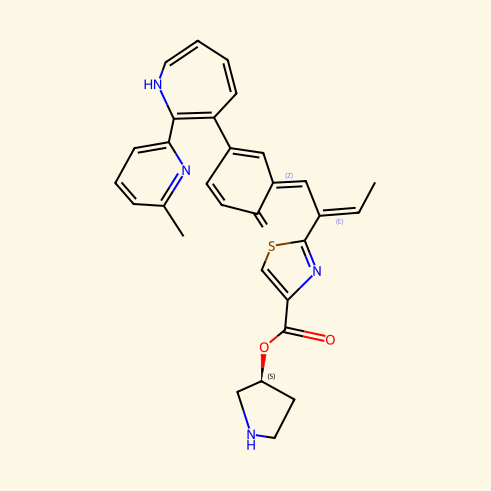 C=c1ccc(C2=C(c3cccc(C)n3)NC=CC=C2)c/c1=C/C(=C\C)c1nc(C(=O)O[C@H]2CCNC2)cs1